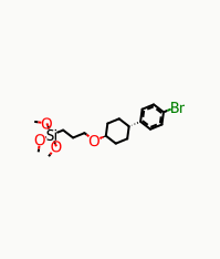 CO[Si](CCCO[C@H]1CC[C@H](c2ccc(Br)cc2)CC1)(OC)OC